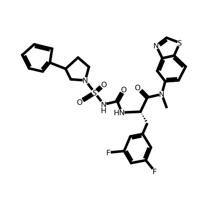 CN(C(=O)[C@H](Cc1cc(F)cc(F)c1)NC(=O)NS(=O)(=O)N1CCC(c2ccccc2)C1)c1ccc2scnc2c1